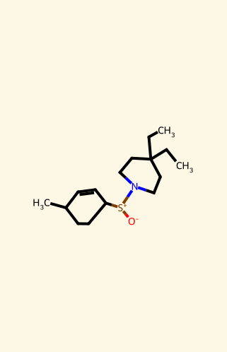 CCC1(CC)CCN([S+]([O-])C2C=CC(C)CC2)CC1